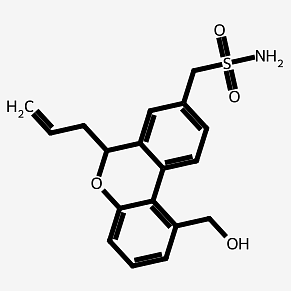 C=CCC1Oc2cccc(CO)c2-c2ccc(CS(N)(=O)=O)cc21